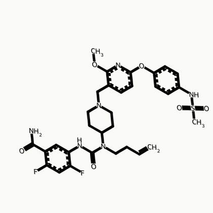 C=CCCN(C(=O)Nc1cc(C(N)=O)c(F)cc1F)C1CCN(Cc2ccc(Oc3ccc(NS(C)(=O)=O)cc3)nc2OC)CC1